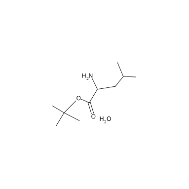 CC(C)CC(N)C(=O)OC(C)(C)C.O